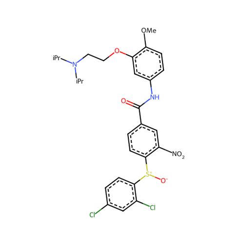 COc1ccc(NC(=O)c2ccc([S+]([O-])c3ccc(Cl)cc3Cl)c([N+](=O)[O-])c2)cc1OCCN(C(C)C)C(C)C